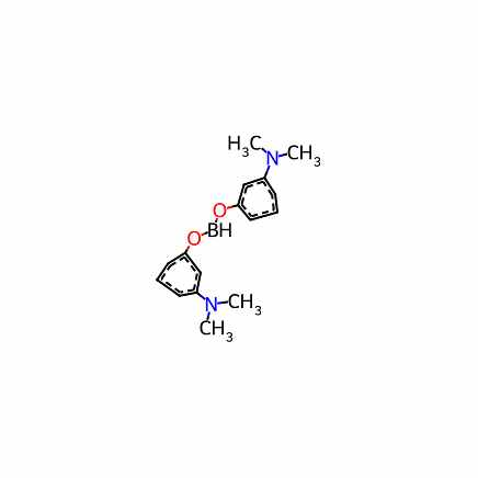 CN(C)c1cccc(OBOc2cccc(N(C)C)c2)c1